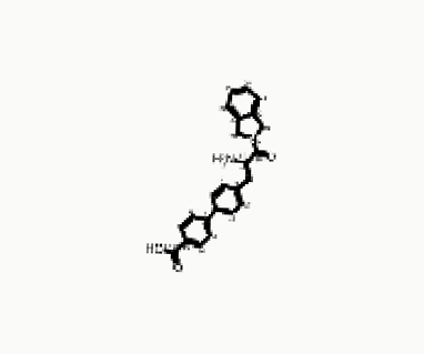 N[C@H](Cc1ccc(-c2ccc(C(=O)O)cc2)cc1)C(=O)N1Cc2ccccc2C1